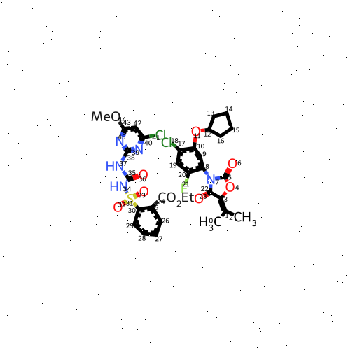 CC(C)=C1OC(=O)N(c2cc(OC3CCCC3)c(Cl)cc2F)C1=O.CCOC(=O)c1ccccc1S(=O)(=O)NC(=O)Nc1nc(Cl)cc(OC)n1